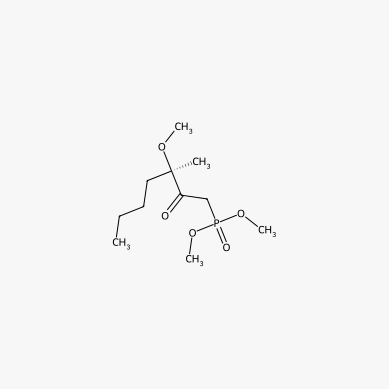 CCCC[C@@](C)(OC)C(=O)CP(=O)(OC)OC